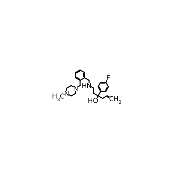 C=CCC(O)(CCNCc1ccccc1CN1CCN(C)CC1)c1ccc(F)cc1